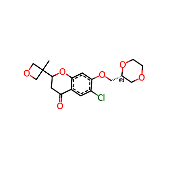 CC1(C2CC(=O)c3cc(Cl)c(OC[C@H]4COCCO4)cc3O2)COC1